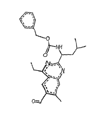 CCc1nc(C(CC(C)C)NC(=O)OCc2ccccc2)nc2cc(C)c(C=O)cc12